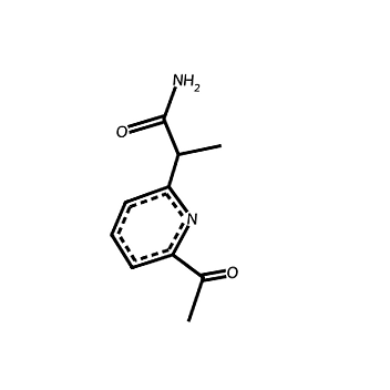 CC(=O)c1cccc(C(C)C(N)=O)n1